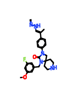 C=NN/C=C(\C)c1ccc(N2CC3(CCNCC3)N(Cc3cc(F)cc(OC)c3)C2=O)cc1